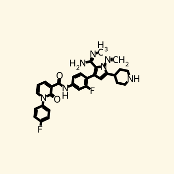 C=Nn1c(C2CCNCC2)cc(-c2ccc(NC(=O)c3cccn(-c4ccc(F)cc4)c3=O)cc2F)c1/C(N)=N\C